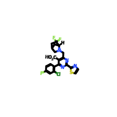 O=C(O)c1c(CN2CC3C[C@@H]2C(F)(F)C3)nc(-c2nccs2)nc1-c1ccc(F)cc1Cl